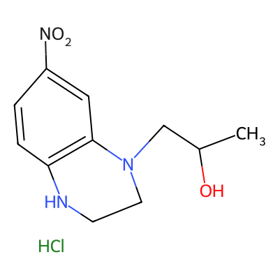 CC(O)CN1CCNc2ccc([N+](=O)[O-])cc21.Cl